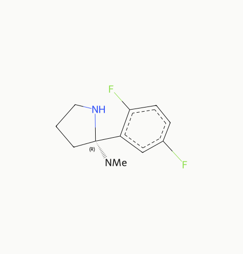 CN[C@]1(c2cc(F)ccc2F)CCCN1